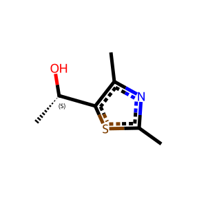 Cc1nc(C)c([C@H](C)O)s1